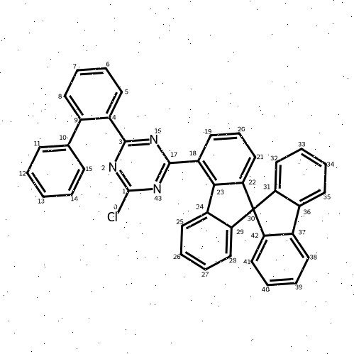 Clc1nc(-c2ccccc2-c2ccccc2)nc(-c2cccc3c2-c2ccccc2C32c3ccccc3-c3ccccc32)n1